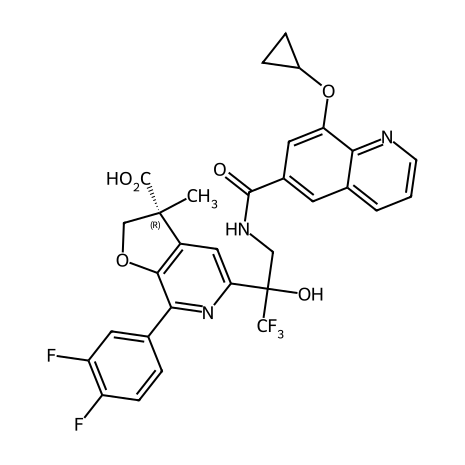 C[C@]1(C(=O)O)COc2c1cc(C(O)(CNC(=O)c1cc(OC3CC3)c3ncccc3c1)C(F)(F)F)nc2-c1ccc(F)c(F)c1